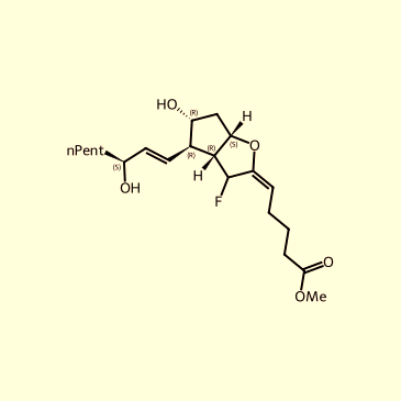 CCCCC[C@H](O)C=C[C@@H]1[C@H]2C(F)C(=CCCCC(=O)OC)O[C@H]2C[C@H]1O